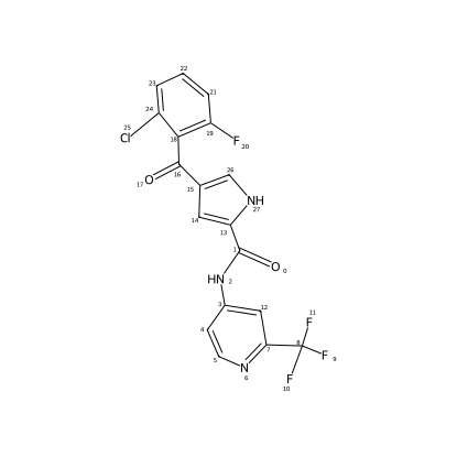 O=C(Nc1ccnc(C(F)(F)F)c1)c1cc(C(=O)c2c(F)cccc2Cl)c[nH]1